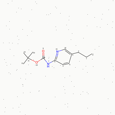 [CH2]CCc1ccc(NC(=O)OC(C)(C)C)nc1